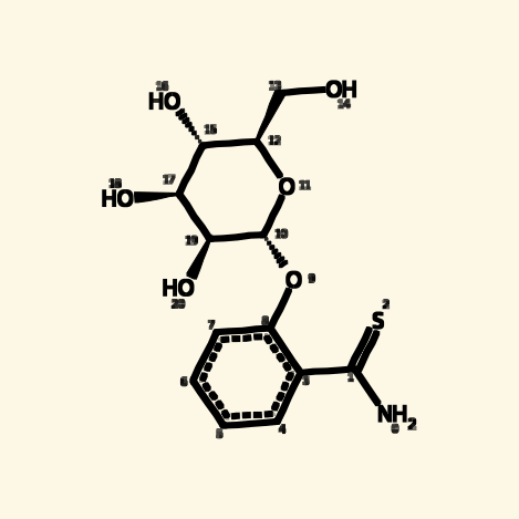 NC(=S)c1ccccc1O[C@H]1O[C@H](CO)[C@@H](O)[C@H](O)[C@@H]1O